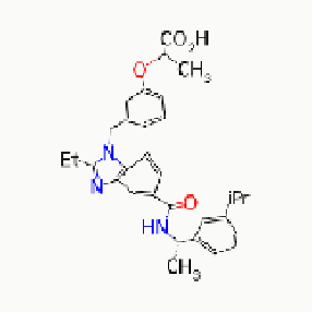 CCc1nc2cc(C(=O)N[C@@H](C)c3cccc(C(C)C)c3)ccc2n1Cc1cccc(OC(C)C(=O)O)c1